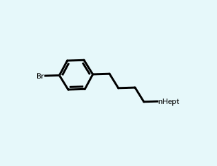 CCCCCCCCCCCc1ccc(Br)cc1